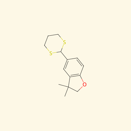 CC1(C)COc2ccc(C3SCCCS3)cc21